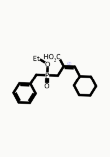 CCOP(=O)(C/C(=C\C1CCCCC1)C(=O)O)Cc1ccccc1